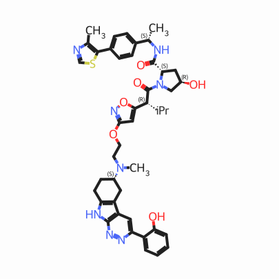 Cc1ncsc1-c1ccc([C@H](C)NC(=O)[C@@H]2C[C@@H](O)CN2C(=O)[C@@H](c2cc(OCCN(C)[C@H]3CCc4[nH]c5nnc(-c6ccccc6O)cc5c4C3)no2)C(C)C)cc1